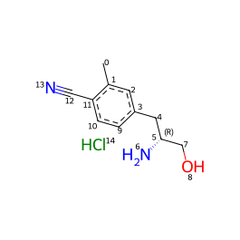 Cc1cc(C[C@@H](N)CO)ccc1C#N.Cl